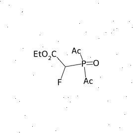 CCOC(=O)C(F)P(=O)(C(C)=O)C(C)=O